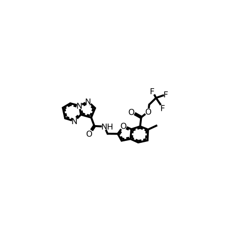 Cc1ccc2cc(CNC(=O)c3cnn4cccnc34)oc2c1C(=O)OCC(F)(F)F